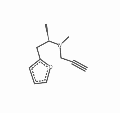 C#CCN(C)[C@H](C)Cc1ccco1